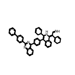 N=C/C(C1=CCCC=C1)=C1\NC(C2C=CC=CC2)=C(c2ccc(-c3nc(-c4ccc(-c5ccccc5)cc4)nc4ccccc34)cc2)c2ccccc21